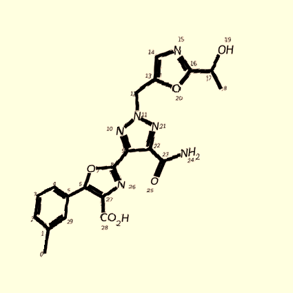 Cc1cccc(-c2oc(-c3nn(Cc4cnc(C(C)O)o4)nc3C(N)=O)nc2C(=O)O)c1